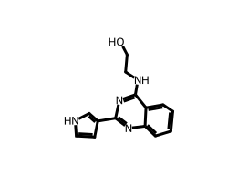 OCCNc1nc(-c2cc[nH]c2)nc2ccccc12